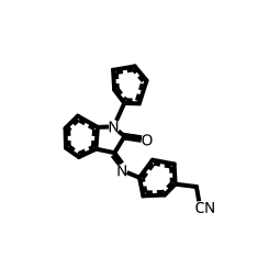 N#CCc1ccc(N=C2C(=O)N(c3ccccc3)c3ccccc32)cc1